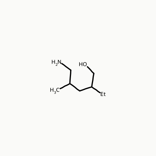 CCC(CO)CC(C)CN